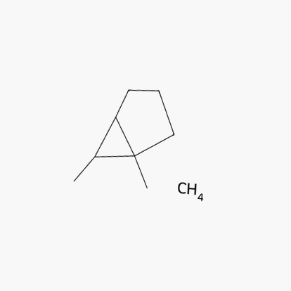 C.CC1C2CCCC12C